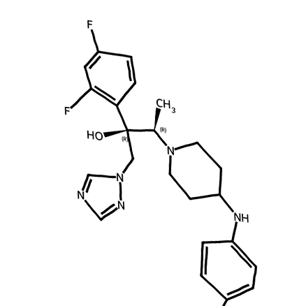 C[C@@H](N1CCC(Nc2ccc(Br)cc2)CC1)[C@](O)(Cn1cncn1)c1ccc(F)cc1F